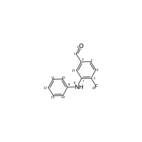 O=Cc1ccc(F)c(Nc2ccccc2)c1